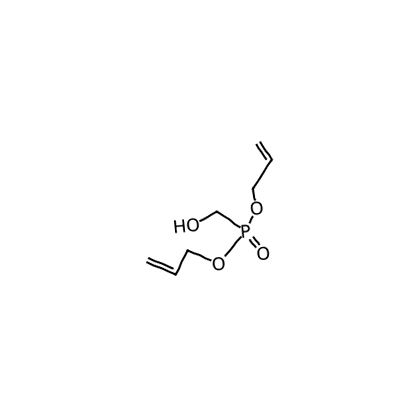 C=CCOP(=O)(CO)OCC=C